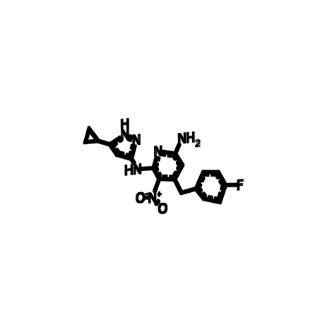 Nc1cc(Cc2ccc(F)cc2)c([N+](=O)[O-])c(Nc2cc(C3CC3)[nH]n2)n1